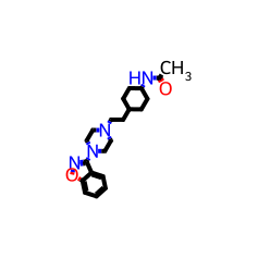 CC(=O)NC1CCC(CCN2CCN(c3noc4ccccc34)CC2)CC1